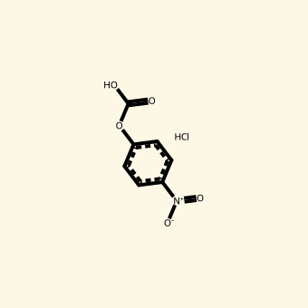 Cl.O=C(O)Oc1ccc([N+](=O)[O-])cc1